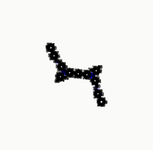 Cc1ccc(N(c2ccc(/C=C/c3ccc(C4CCCCC4)cc3)cc2)c2ccc(-c3ccc(-c4ccc(N(c5ccc(/C=C/c6ccc(C7CCCCC7)cc6)cc5)c5ccc(C)cc5C)cc4)cc3)cc2)c(C)c1